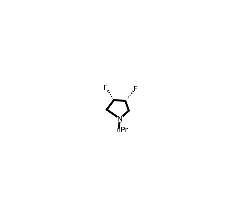 CCCN1C[C@@H](F)[C@@H](F)C1